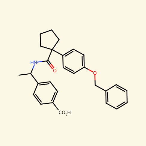 CC(NC(=O)C1(c2ccc(OCc3ccccc3)cc2)CCCC1)c1ccc(C(=O)O)cc1